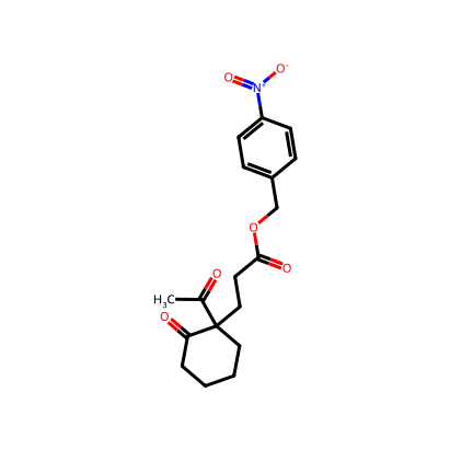 CC(=O)C1(CCC(=O)OCc2ccc([N+](=O)[O-])cc2)CCCCC1=O